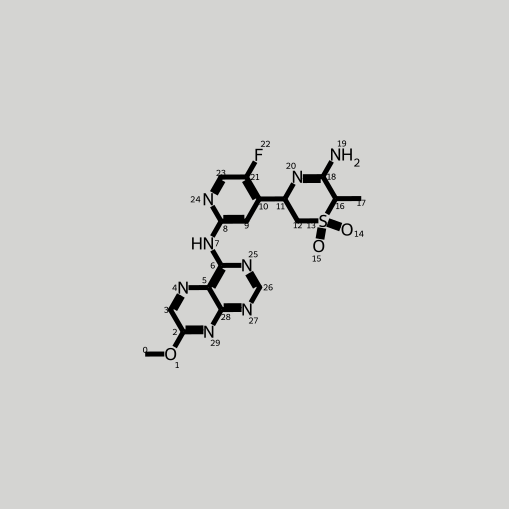 COc1cnc2c(Nc3cc(C4CS(=O)(=O)C(C)C(N)=N4)c(F)cn3)ncnc2n1